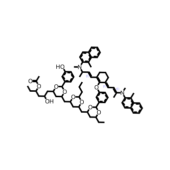 CCCC1OC(CC2CC(CC)OC(c3cccc(OC4=C(/C=C/C(C)N(C)c5ccc6ccccc6c5C)CCC/C4=C\C=C(/C)N(C)c4ccc5ccccc5c4C)c3)O2)CC(CC2CC(CC(O)CC(CC)OC(C)=O)OC(c3cccc(O)c3)O2)O1